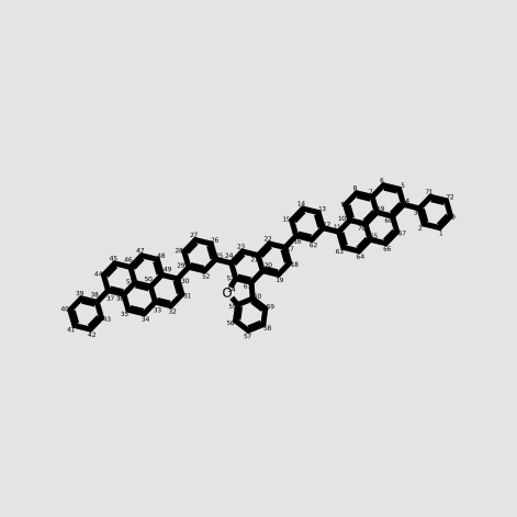 c1ccc(-c2ccc3ccc4c(-c5cccc(-c6ccc7c(c6)cc(-c6cccc(-c8ccc9ccc%10c(-c%11ccccc%11)ccc%11ccc8c9c%11%10)c6)c6oc8ccccc8c67)c5)ccc5ccc2c3c54)cc1